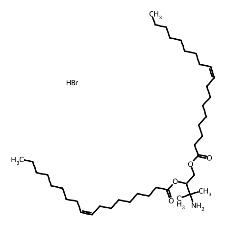 Br.CCCCCCCC/C=C\CCCCCCCC(=O)OCC(OC(=O)CCCCCCC/C=C\CCCCCCCC)C(C)(C)N